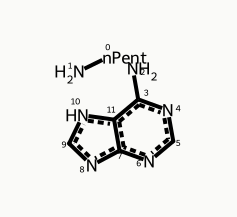 CCCCCN.Nc1ncnc2nc[nH]c12